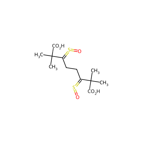 CC(C)(C(=O)O)C(CCC(=S=O)C(C)(C)C(=O)O)=S=O